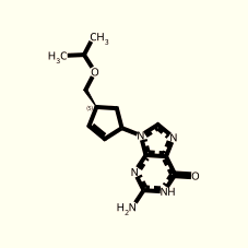 CC(C)OC[C@@H]1C=CC(n2cnc3c(=O)[nH]c(N)nc32)C1